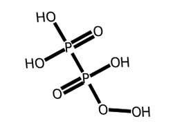 O=P(O)(O)P(=O)(O)OO